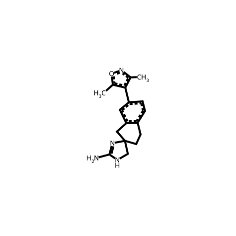 Cc1noc(C)c1-c1ccc2c(c1)CC1(CC2)CNC(N)=N1